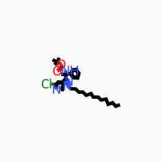 CCCCCCCCCCCCCCn1nc(C(C)(NC(=O)OC(C)(C)C)c2ccccc2)c2cc(Cl)ncc21